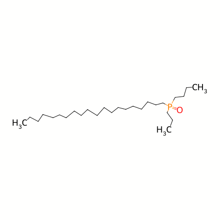 CCCCCCCCCCCCCCCCCCCCP(=O)(CCC)CCCC